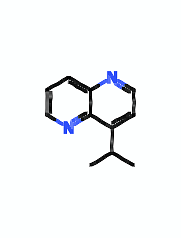 CC(C)c1ccnc2cccnc12